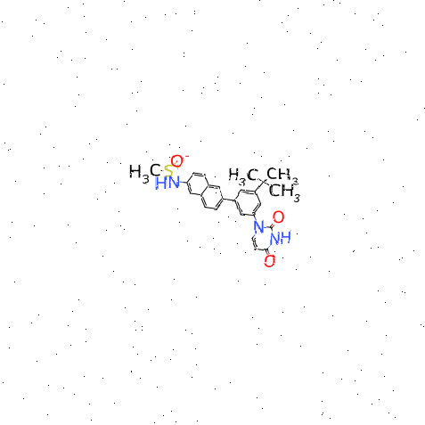 C[S+]([O-])Nc1ccc2cc(-c3cc(-n4ccc(=O)[nH]c4=O)cc(C(C)(C)C)c3)ccc2c1